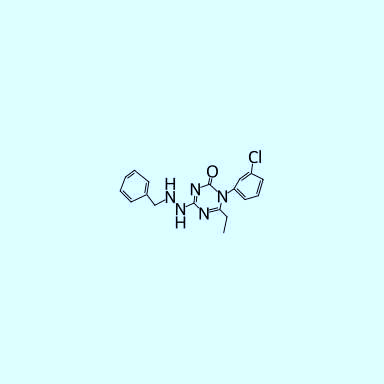 CCc1nc(NNCc2ccccc2)nc(=O)n1-c1cccc(Cl)c1